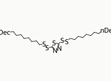 CCCCCCCCCCCCCCCCCCSSc1nnc(SSCCCCCCCCCCCCCCCCCC)s1